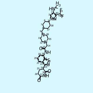 CNc1cn(C2CCC(CN3CCN(CC(=O)Nc4cccc5c(C6CCC(=O)NC6=O)nsc45)CC3)CC2)nc1C(F)F